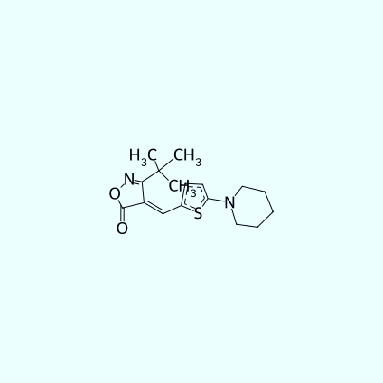 CC(C)(C)C1=NOC(=O)C1=Cc1ccc(N2CCCCC2)s1